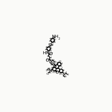 CCN(CC)c1ccc2c(-c3ccccc3C(=O)N3CCN(C(=O)CCC(=O)Nc4ccc(SSc5ccc(N)cc5)cc4)CC3)c3ccc(=[N+](CC)CC)cc-3oc2c1